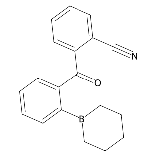 N#Cc1ccccc1C(=O)c1ccccc1B1CCCCC1